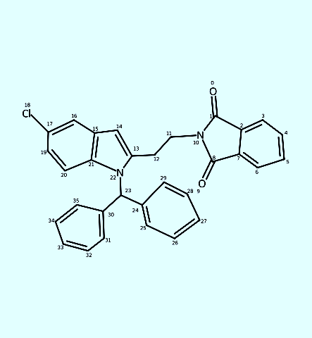 O=C1c2ccccc2C(=O)N1CCc1cc2cc(Cl)ccc2n1C(c1ccccc1)c1ccccc1